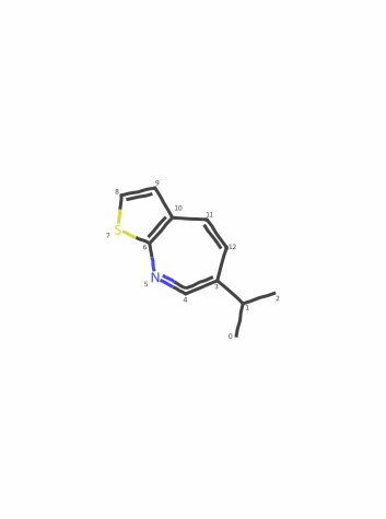 CC(C)C1=C=Nc2sccc2C=C1